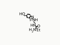 CC[C@H](N)C(=O)NCCNc1nc2ccc(CO)cc2s1